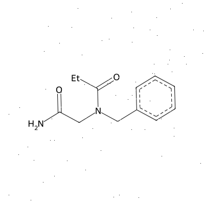 CCC(=O)N(CC(N)=O)Cc1ccccc1